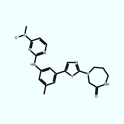 Cc1cc(Nc2nccc([S+](C)[O-])n2)cc(-c2cnc(N3CCCNC(=O)C3)s2)c1